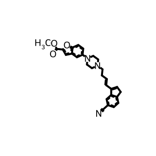 COC(=O)c1cc2cc(N3CCN(CC/C=C/C4=CCc5ccc(C#N)cc54)CC3)ccc2o1